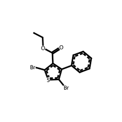 CCOC(=O)c1c(Br)sc(Br)c1-c1ccccc1